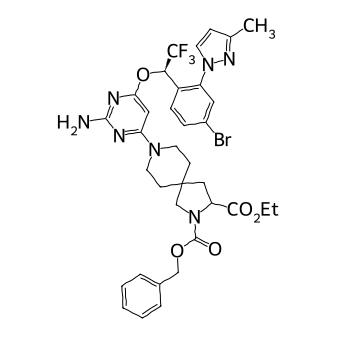 CCOC(=O)C1CC2(CCN(c3cc(O[C@H](c4ccc(Br)cc4-n4ccc(C)n4)C(F)(F)F)nc(N)n3)CC2)CN1C(=O)OCc1ccccc1